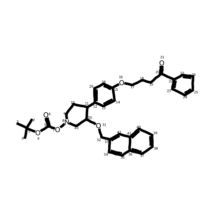 CC(C)(C)OC(=O)ON1CCC(c2ccc(OCCCC(=O)c3ccccc3)cc2)C(OCc2ccc3ccccc3c2)C1